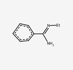 CCN=C(N)c1ccccc1